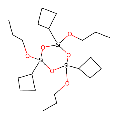 CCCO[Si]1(C2CCC2)O[Si](OCCC)(C2CCC2)O[Si](OCCC)(C2CCC2)O1